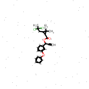 C#CC(OC(=O)C1C(CC(C)(Cl)Cl)C1(C)C)c1cccc(Oc2ccccc2)c1